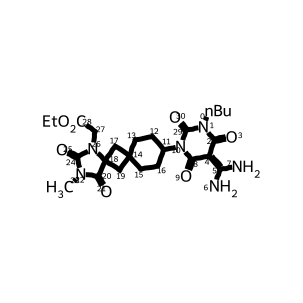 CCCCN1C(=O)C(=C(N)N)C(=O)N(C2CCC3(CC2)CC2(C3)C(=O)N(C)C(=O)N2CC(=O)OCC)C1=O